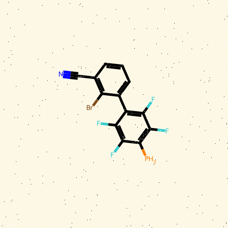 N#Cc1cccc(-c2c(F)c(F)c(P)c(F)c2F)c1Br